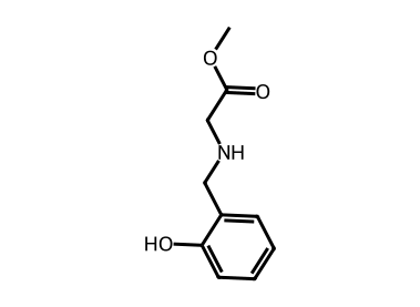 COC(=O)CNCc1ccccc1O